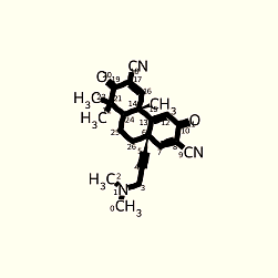 CN(C)CC#C[C@]12C=C(C#N)C(=O)C=C1[C@@]1(C)C=C(C#N)C(=O)C(C)(C)C1CC2